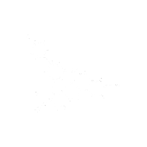 COc1ncc(-c2ccc3c(Nc4cc(C(=O)O)cc(-c5ccc(Cl)cc5)c4)c(C(N)=O)cnc3c2)c(OC)n1